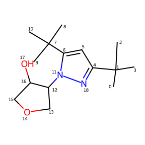 CC(C)(C)c1cc(C(C)(C)C)n(C2COCC2O)n1